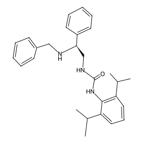 CC(C)c1cccc(C(C)C)c1NC(=O)NC[C@@H](NCc1ccccc1)c1ccccc1